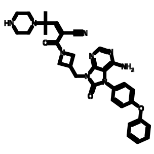 CC(C)(/C=C(/C#N)C(=O)N1CC(Cn2c(=O)n(-c3ccc(Oc4ccccc4)cc3)c3c(N)ncnc32)C1)N1CCNCC1